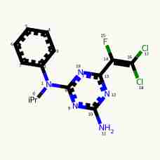 CC(C)N(c1ccccc1)c1nc(N)nc(C(F)=C(Cl)Cl)n1